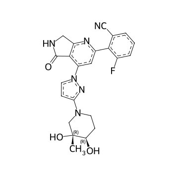 C[C@@]1(O)CN(c2ccn(-c3cc(-c4c(F)cccc4C#N)nc4c3C(=O)NC4)n2)CC[C@H]1O